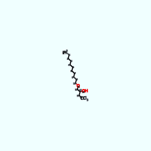 CC(C)CCCCCCCCCCOCC(O)CC(Cl)(Cl)Cl